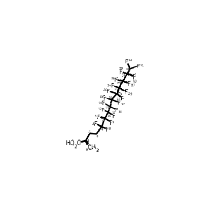 C=C(CCC(F)(F)C(F)(F)C(F)(F)C(F)(F)C(F)(F)C(F)(F)C(F)(F)C(F)(F)C(F)(F)C(F)F)C(=O)O